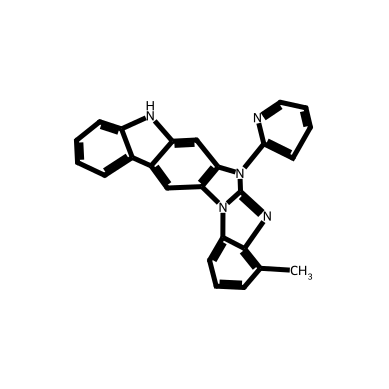 Cc1cccc2c1nc1n(-c3ccccn3)c3cc4[nH]c5ccccc5c4cc3n21